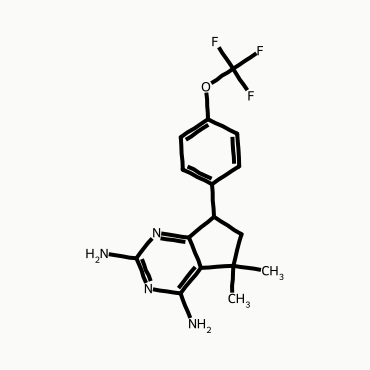 CC1(C)CC(c2ccc(OC(F)(F)F)cc2)c2nc(N)nc(N)c21